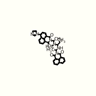 CCC(NC(C)N1C(=O)c2cccc3cccc(c23)C1=O)N(C)C(C)N1C(=O)c2cccc3c(-n4ccnc4)ccc(c23)C1=O